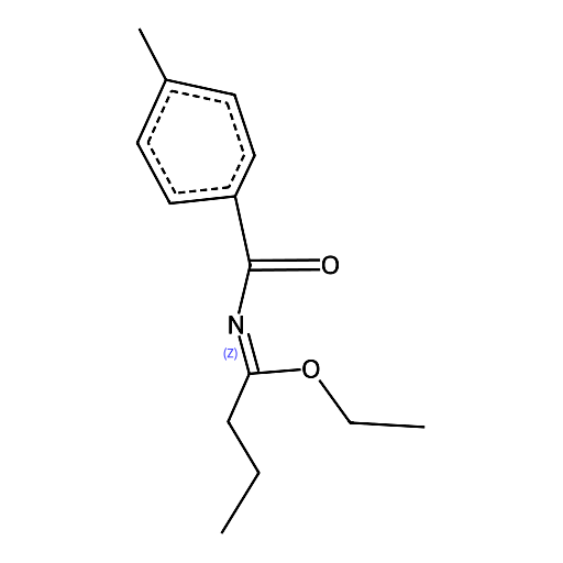 CCC/C(=N/C(=O)c1ccc(C)cc1)OCC